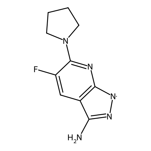 NC1=N[N]c2nc(N3CCCC3)c(F)cc21